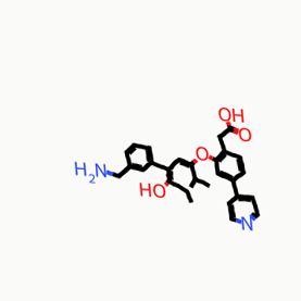 CC/C(O)=C(\C=C(\Oc1cc(-c2ccncc2)ccc1CC(=O)O)C(C)C)c1cccc(CN)c1